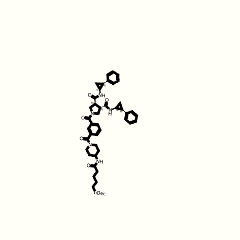 CCCCCCCCCCCCCCC(=O)NC1CCN(C(=O)c2cccc(C(=O)N3C[C@@H](C(=O)N[C@H]4C[C@@H]4c4ccccc4)[C@H](C(=O)N[C@H]4C[C@@H]4c4ccccc4)C3)c2)CC1